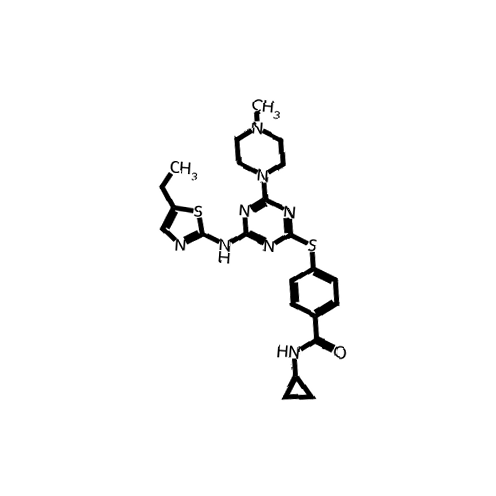 CCc1cnc(Nc2nc(Sc3ccc(C(=O)NC4CC4)cc3)nc(N3CCN(C)CC3)n2)s1